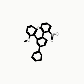 COc1ccccc1-c1cc(C2=CC=CCC2)ccc1-c1c(F)cccc1[N+](=O)[O-]